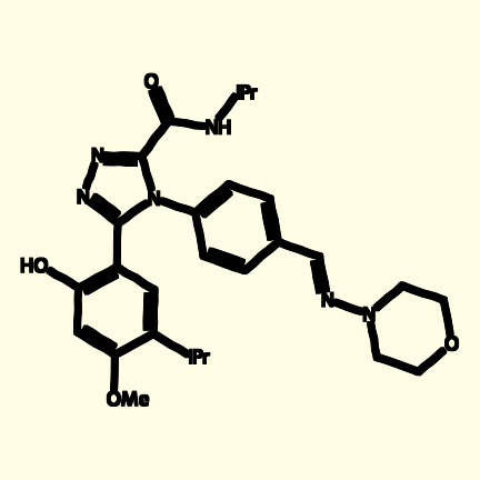 COc1cc(O)c(-c2nnc(C(=O)NC(C)C)n2-c2ccc(C=NN3CCOCC3)cc2)cc1C(C)C